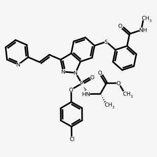 CNC(=O)c1ccccc1Sc1ccc2c(/C=C/c3ccccn3)nn([P@](=O)(N[C@@H](C)C(=O)OC)Oc3ccc(Cl)cc3)c2c1